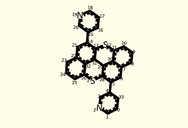 c1cncc(-c2cc3cccc4sc5c(-c6cccnc6)cc6cccc7sc2c(c34)-c5c67)c1